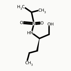 CCC[C@H](CO)NS(=O)(=O)C(C)C